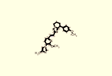 COc1ccc(C2CCCn3nc(/C=C/c4ccc(-n5cnc(C)c5)c(OC)n4)nc32)cc1